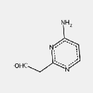 Nc1ccnc(C[C]=O)n1